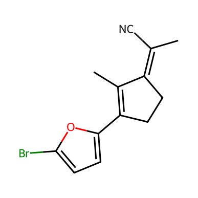 CC1=C(c2ccc(Br)o2)CC/C1=C(\C)C#N